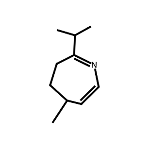 CC1C=CN=C(C(C)C)CC1